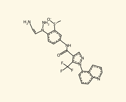 C[S+]([O-])c1cc(NC(=O)c2cnn(-c3cccc4ncccc34)c2C(F)(F)F)ccc1N(N)/C=C\N